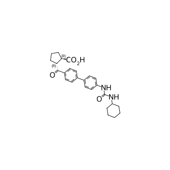 O=C(Nc1ccc(-c2ccc(C(=O)[C@@H]3CCC[C@H]3C(=O)O)cc2)cc1)NC1CCCCC1